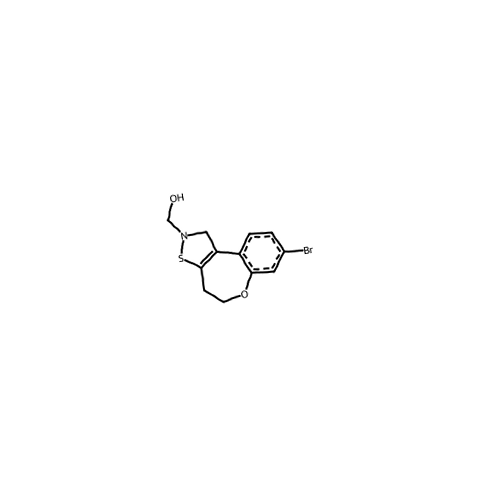 OCN1CC2=C(CCOc3cc(Br)ccc32)S1